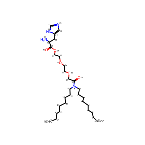 CCCCCCCCCCCCCCCCCCN(CCCCCCCCCCCCCCCCCC)C(=O)COCCOCCOC(=O)C(N)Cc1cnc[nH]1